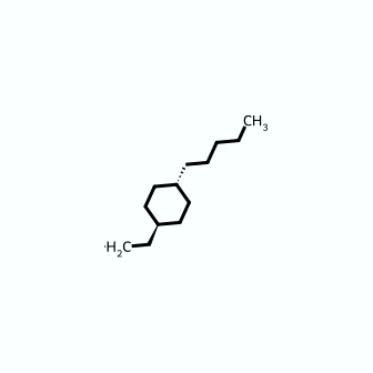 [CH2]C[C@H]1CC[C@H](CCCCC)CC1